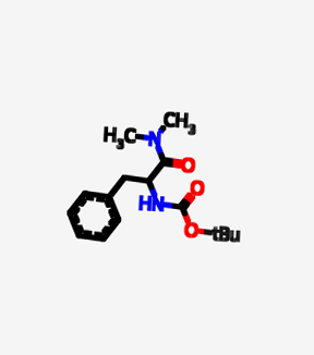 CN(C)C(=O)C(Cc1ccccc1)NC(=O)OC(C)(C)C